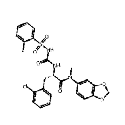 Cc1ccccc1S(=O)(=O)NC(=O)N[C@@H](Cc1ccccc1Cl)C(=O)N(C)c1ccc2c(c1)OCO2